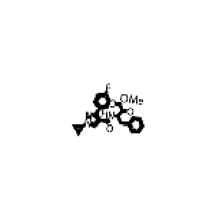 COC(=O)C(=O)C(Cc1ccccc1)NC(=O)c1cn(C2CC2)nc1-c1ccc(F)cc1